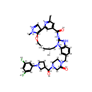 Cc1cc2cc(n1)-c1cnn(C)c1OCCC[C@@H](C)CN1/C(=N/C2=O)Nc2ccc(CN3CCN(C(=O)C4CCN(c5cc(F)cc(F)c5)C4)CC3=O)cc21